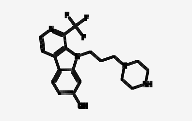 Oc1ccc2c3ccnc(C(F)(F)F)c3n(CCCN3CCNCC3)c2c1